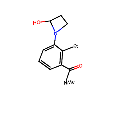 CCc1c(C(=O)NC)cccc1N1CCC1O